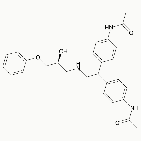 CC(=O)Nc1ccc(C(CNC[C@H](O)COc2ccccc2)c2ccc(NC(C)=O)cc2)cc1